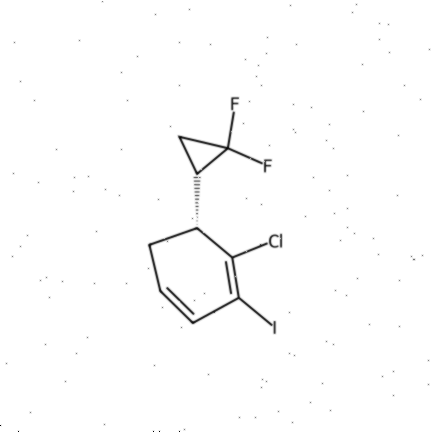 FC1(F)CC1[C@H]1CC=CC(I)=C1Cl